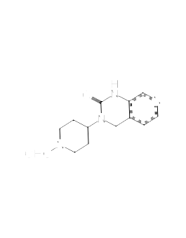 O=CN1CCC(N2Cc3ccncc3NC2=O)CC1